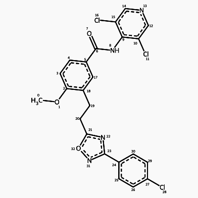 COc1ccc(C(=O)Nc2c(Cl)cncc2Cl)cc1CCc1nc(-c2ccc(Cl)cc2)no1